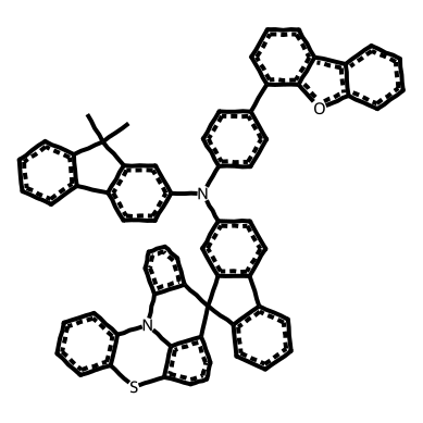 CC1(C)c2ccccc2-c2ccc(N(c3ccc(-c4cccc5c4oc4ccccc45)cc3)c3ccc4c(c3)C3(c5ccccc5-4)c4ccccc4N4c5ccccc5Sc5cccc3c54)cc21